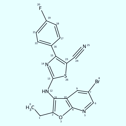 CCc1oc2ncc(Br)cc2c1Nc1nc(-c2ccc(F)cc2)c(C#N)s1